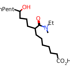 CCCCCC(O)CCCC(CCCCCCC(=O)O)C(=O)N(C)CC